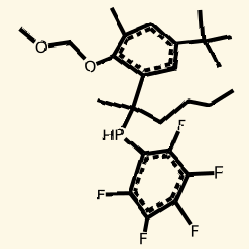 CCCCC(C)(Pc1c(F)c(F)c(F)c(F)c1F)c1cc(C(C)(C)C)cc(C)c1OCOC